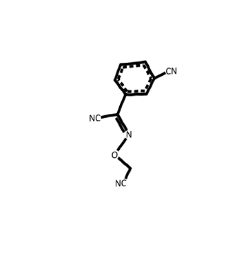 N#CCON=C(C#N)c1cccc(C#N)c1